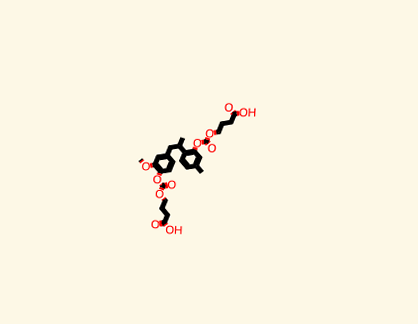 COc1cc(CC(C)c2ccc(C)cc2OC(=O)OCCCC(=O)O)ccc1OC(=O)OCCCC(=O)O